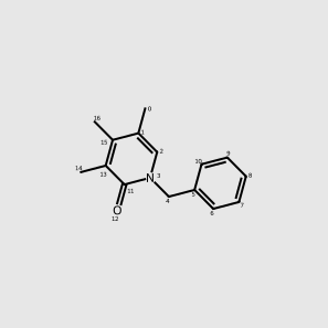 Cc1cn(Cc2ccccc2)c(=O)c(C)c1C